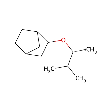 CC(C)[C@@H](C)OC1CC2CCC1C2